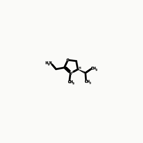 CC(C)[C@H]1COC(CN)=[N+]1C